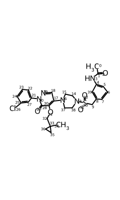 CC(=O)Nc1cccc(CS(=O)(=O)N2CCN(c3cnn(-c4cccc(Cl)c4)c(=O)c3OCC3(C)CC3)CC2)c1